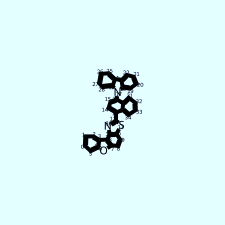 c1ccc2c(c1)oc1ccc3sc(-c4ccc(-n5c6ccccc6c6ccccc65)c5ccccc45)nc3c12